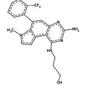 Cn1ccc2c3c(NCCCO)nc(N)nc3cc(-c3ccccc3C(F)(F)F)c21